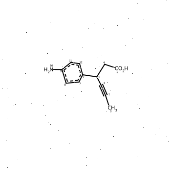 CC#CC(CC(=O)O)c1ccc(N)cc1